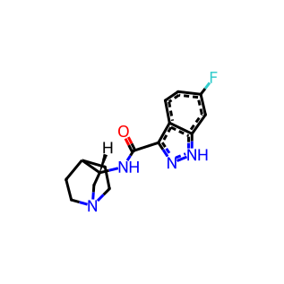 O=C(N[C@@H]1CN2CCC1CC2)c1n[nH]c2cc(F)ccc12